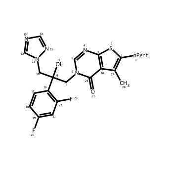 CCCCCc1sc2ncn(CC(O)(Cn3cncn3)c3ccc(F)cc3F)c(=O)c2c1C